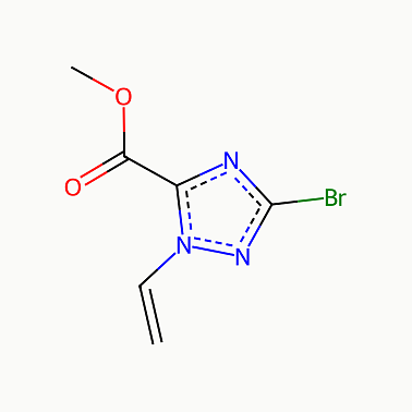 C=Cn1nc(Br)nc1C(=O)OC